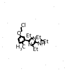 CCc1nc(-c2cc(OCCCl)ccc2C)c(CC)nc1NC(CC)CC